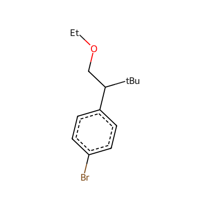 CCOCC(c1ccc(Br)cc1)C(C)(C)C